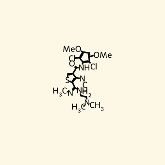 C=Nc1c(C(=O)Nc2c(Cl)c(OC)cc(OC)c2Cl)csc1/C(=N\C)NCCN(C)C